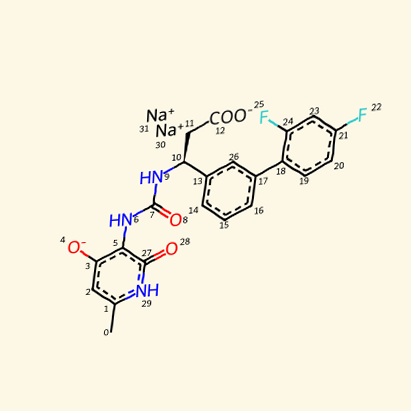 Cc1cc([O-])c(NC(=O)N[C@@H](CC(=O)[O-])c2cccc(-c3ccc(F)cc3F)c2)c(=O)[nH]1.[Na+].[Na+]